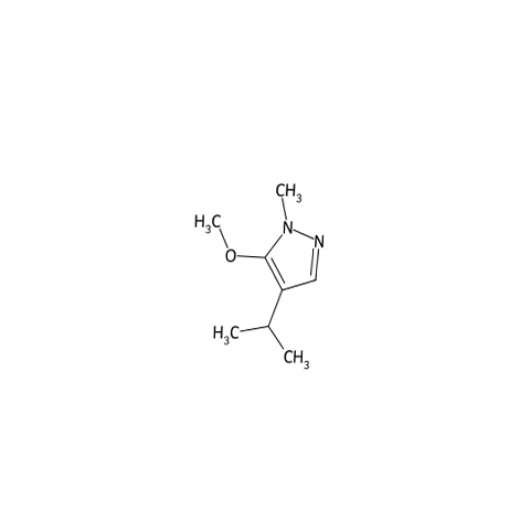 COc1c(C(C)C)cnn1C